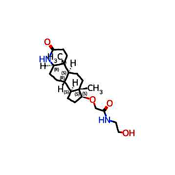 C[C@]12CCC(=O)N[C@@H]1CC[C@@H]1[C@@H]2CC[C@]2(C)[C@@H](OCC(=O)NCCO)CC[C@@H]12